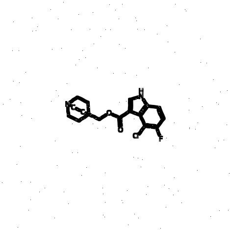 O=C(OCC12CCN(CC1)CC2)c1c[nH]c2ccc(F)c(Cl)c12